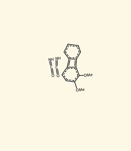 COc1ccc2c(c1OC)=c1ccccc1=2.N=C=O.N=C=O